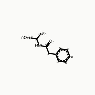 CCCCCCCCC(CCC)NC(=O)Cc1ccccc1